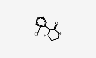 O=C1[N]CCNC1c1ccccc1Cl